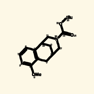 COc1nccc2c1CC1CC2CN(C(=O)OC(C)(C)C)C1